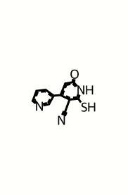 N#Cc1c(-c2cccnc2)cc(=O)[nH]c1S